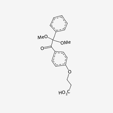 COC(OC)(C(=O)c1ccc(OCCC(=O)O)cc1)c1ccccc1